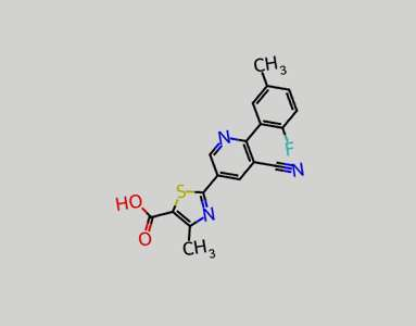 Cc1ccc(F)c(-c2ncc(-c3nc(C)c(C(=O)O)s3)cc2C#N)c1